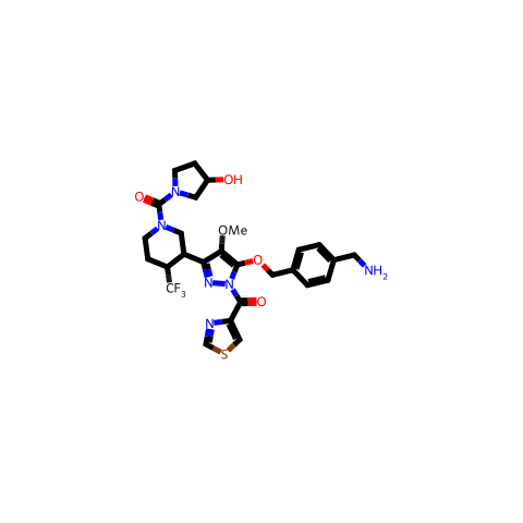 COc1c(C2CN(C(=O)N3CCC(O)C3)CCC2C(F)(F)F)nn(C(=O)c2cscn2)c1OCc1ccc(CN)cc1